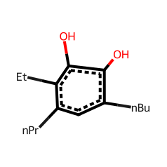 CCCCc1cc(CCC)c(CC)c(O)c1O